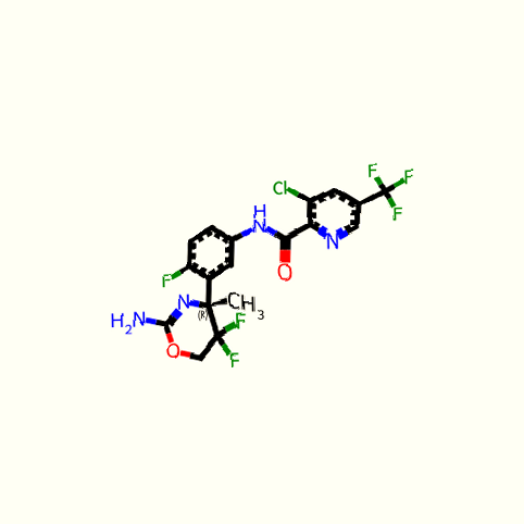 C[C@]1(c2cc(NC(=O)c3ncc(C(F)(F)F)cc3Cl)ccc2F)N=C(N)OCC1(F)F